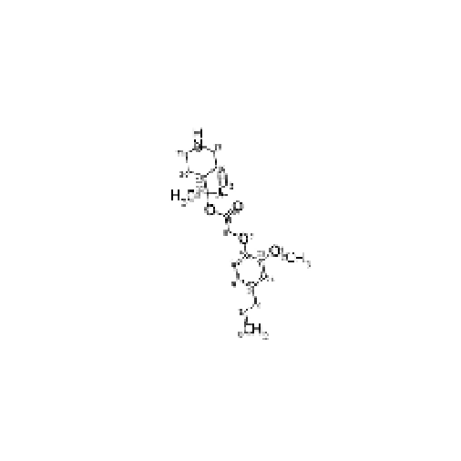 C=CCc1ccc(OCC(=O)OC(C)(C)C2CCNCC2)c(OC)c1